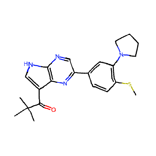 CSc1ccc(-c2cnc3[nH]cc(C(=O)C(C)(C)C)c3n2)cc1N1CCCC1